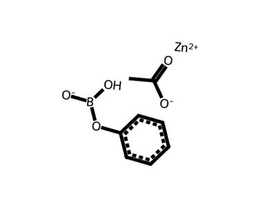 CC(=O)[O-].[O-]B(O)Oc1ccccc1.[Zn+2]